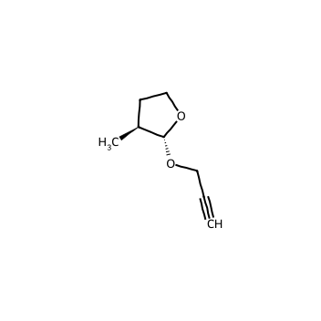 C#CCO[C@H]1OCC[C@@H]1C